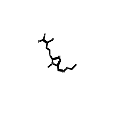 CCO/N=C\c1cnc(SCCC(F)=C(F)F)n1C